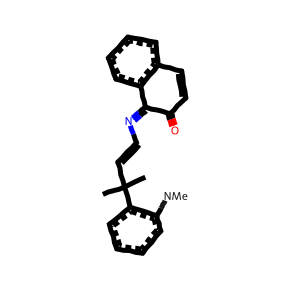 CNc1ccccc1C(C)(C)/C=C/N=C1\C(=O)C=Cc2ccccc21